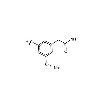 Cc1cc(CC([NH-])=O)cc(C(F)(F)F)c1.[Na+]